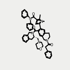 Cc1c(C(=O)N(c2ccccc2)c2ccccc2)cc(-c2cc3c(cc2C(=O)N2Cc4ccccc4C[C@H]2CN2CCOCC2)CN(C(=O)Cc2ccccc2)CC3)n1C